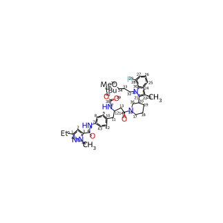 CCc1cc(C(=O)Nc2ccc(CC(CC(=O)N3CCCC(c4c(C)c5cccc(F)c5n4CCCOC)C3)NC(=O)OC(C)(C)C)cc2)n(C)n1